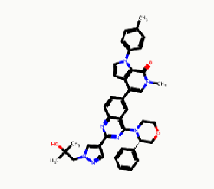 Cc1ccc(-n2ccc3c(-c4ccc5nc(-c6cnn(CC(C)(C)O)c6)nc(N6CCOC[C@@H]6c6ccccc6)c5c4)cn(C)c(=O)c32)cc1